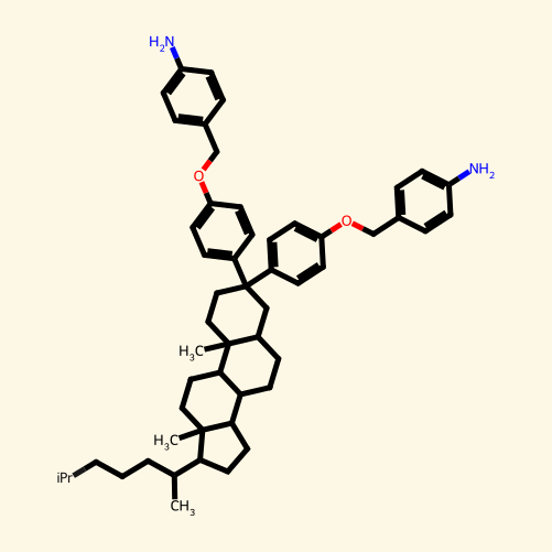 CC(C)CCCC(C)C1CCC2C3CCC4CC(c5ccc(OCc6ccc(N)cc6)cc5)(c5ccc(OCc6ccc(N)cc6)cc5)CCC4(C)C3CCC12C